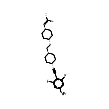 CCCc1cc(F)c(C#C[C@H]2CC[C@H](CC[C@H]3CC[C@H](C=C(F)F)CC3)CC2)c(F)c1